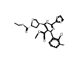 CCOC(=O)[C@H]1C[C@H](C2=C(C(=O)OC)C(c3cccc(F)c3Cl)N=C(c3nccs3)N2)CO1